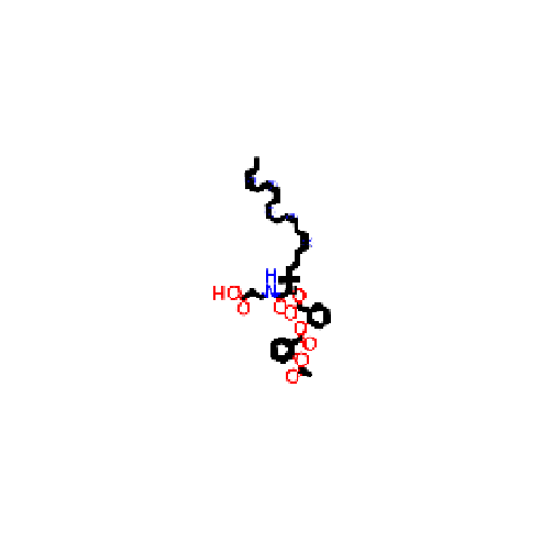 CC/C=C\C/C=C\C/C=C\C/C=C\C/C=C\CCCC(C)(C)[C@@H](OC(=O)c1ccccc1OC(=O)c1ccccc1OC(C)=O)C(=O)NCCC(=O)O